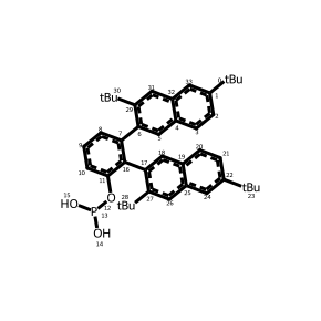 CC(C)(C)c1ccc2cc(-c3cccc(OP(O)O)c3-c3cc4ccc(C(C)(C)C)cc4cc3C(C)(C)C)c(C(C)(C)C)cc2c1